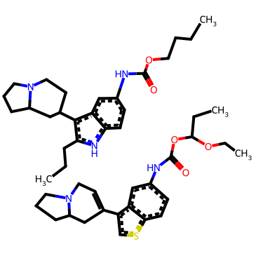 CCCCOC(=O)Nc1ccc2[nH]c(CCC)c(C3CCN4CCCC4C3)c2c1.CCOC(CC)OC(=O)Nc1ccc2scc(C3=CCN4CCCC4C3)c2c1